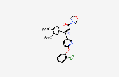 COc1ccc(/C(=C\C(=O)N2CCOCC2)c2ccc(Oc3ccccc3Cl)nc2)cc1OC